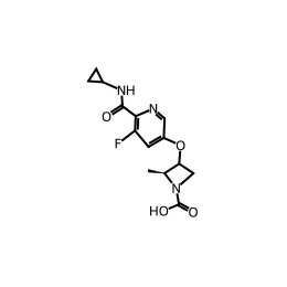 C[C@H]1C(Oc2cnc(C(=O)NC3CC3)c(F)c2)CN1C(=O)O